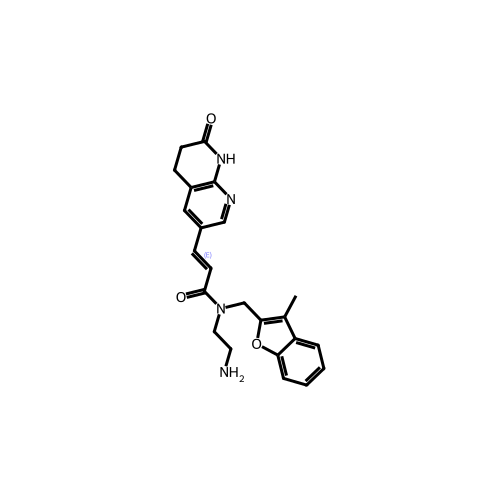 Cc1c(CN(CCN)C(=O)/C=C/c2cnc3c(c2)CCC(=O)N3)oc2ccccc12